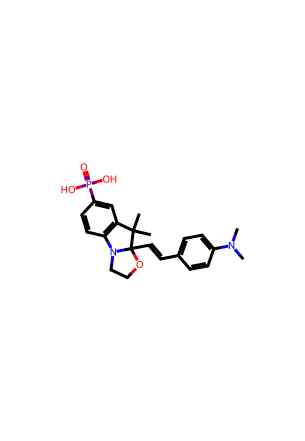 CN(C)c1ccc(C=CC23OCCN2c2ccc(P(=O)(O)O)cc2C3(C)C)cc1